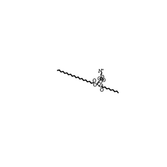 CCCCCCCCCCCCCCCCCCCC(=O)O[C@H](COC(=O)CCCCCCCC)COP(=O)([O-])OCC[N+](C)(C)C